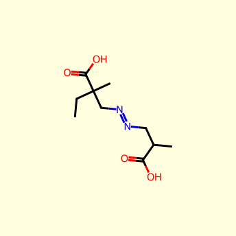 CCC(C)(CN=NCC(C)C(=O)O)C(=O)O